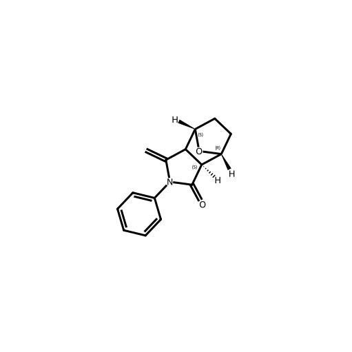 C=C1C2[C@@H]3CC[C@@H](O3)[C@H]2C(=O)N1c1ccccc1